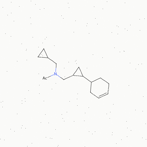 CC(=O)N(CC1CC1)CC1CC1C1CC=CCC1